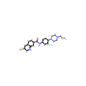 CCN1CCN(c2ccc(NC(=O)c3ccc4cc(Br)cnc4c3)cc2F)CC1